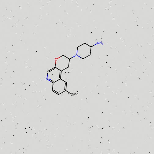 COc1ccc2ncc3c(c2c1)CC(N1CCC(N)CC1)CO3